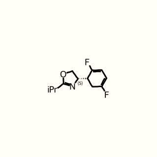 CC(C)C1=N[C@@H](C2CC(F)=CC=C2F)CO1